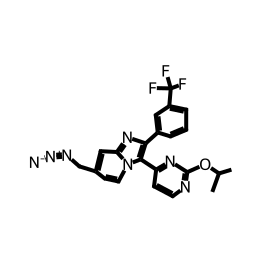 CC(C)Oc1nccc(-c2c(-c3cccc(C(F)(F)F)c3)nc3cc(CN=[N+]=[N-])ccn23)n1